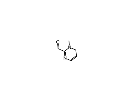 CN1CC=CN=C1C=O